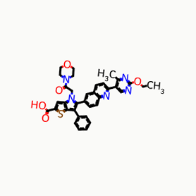 CCOc1ncc(-c2ccc3cc(-c4c(-c5ccccc5)c5sc(C(=O)O)cc5n4CC(=O)N4CCOCC4)ccc3n2)c(C)n1